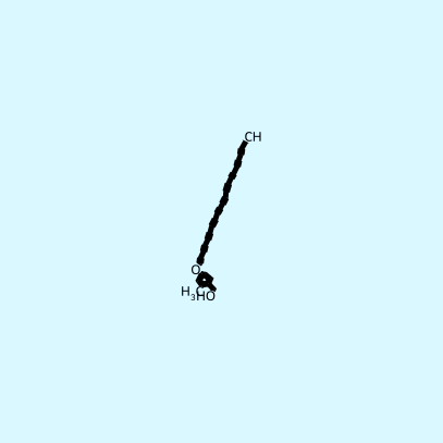 C#CC#CC#CC#CC#CC#CC#CC#CC#CC#CC#COc1ccc(CO)c(C)c1